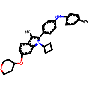 CC(C)c1ccc(Nc2ccc(-c3c(C#N)c4ccc(OC5CCOCC5)cc4n3C3CCC3)cc2)cc1